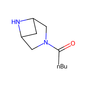 CCCCC(=O)N1CC2CC(C1)N2